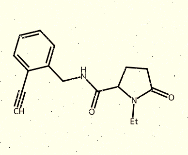 C#Cc1ccccc1CNC(=O)C1CCC(=O)N1CC